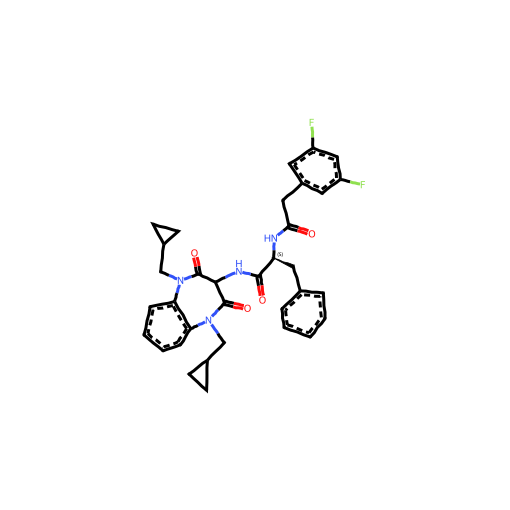 O=C(Cc1cc(F)cc(F)c1)N[C@@H](Cc1ccccc1)C(=O)NC1C(=O)N(CC2CC2)c2ccccc2N(CC2CC2)C1=O